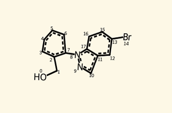 OCc1ccccc1-n1ncc2cc(Br)ccc21